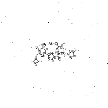 COC(=O)[C@@H](C)C[C@H](Cc1nc(C)cs1)NC(=O)c1csc(CCC(C(C)C)N(C)C(=O)CC2CSC2)n1